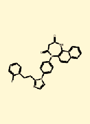 O=C1CC(=O)N(c2ccc(-n3ccnc3CCc3ccccc3F)cc2)c2ccc3ccccc3c2N1